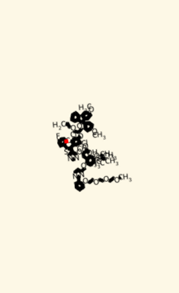 C=CCOCC(COC(c1ccccc1)(c1ccc(OC)cc1)c1ccc(OC)cc1)Oc1c(Cl)c(C)c(-c2c(-c3ccc(F)cc3)sc3ncnc(OC(Cc4cc(O[Si](C)(C)C(C)(C)C)ccc4OCc4ccnc(-c5ccccc5OCCOCCOCCOC)n4)C(=O)O)c23)c(C)c1Cl